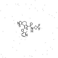 Cc1ncccc1Oc1sc(C(=O)NC2CC(F)(F)C2)c2c1-c1sncc1CC2